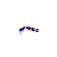 O=C(NCc1ccc(S(=O)(=O)c2ccc(N3CCOCC3)nc2)cn1)c1cnc2[nH]ncc2c1